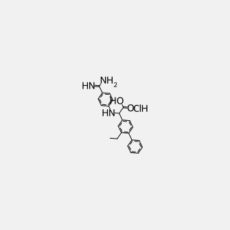 CCc1cc(C(Nc2ccc(C(=N)N)cc2)C(=O)O)ccc1-c1ccccc1.Cl